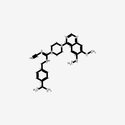 COc1cc2ncnc(N3CCN(/C(=N/C#N)NCc4ccc(C(C)C)cc4)CC3)c2cc1OC